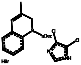 Br.CCCCCCCCCCN1CC(C)=Cc2ccccc21.Clc1nc[nH]c1Cl